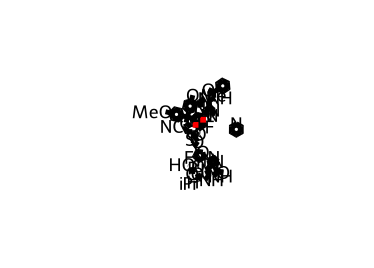 COc1ccc(C(OC[C@H]2O[C@@H](n3nnc4c(NC(=O)c5ccccc5)ncnc43)[C@@H](F)[C@@H]2OP(=S)(OCCC#N)OC[C@H]2O[C@@H](n3nnc4c(=O)[nH]c(NC(=O)C(C)C)nc43)[C@@H](O[PH](=O)O)[C@@H]2F)(c2ccccc2)c2ccc(OC)cc2)cc1.c1ccncc1